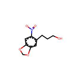 O=[N+]([O-])c1cc2c(cc1CCCO)OCO2